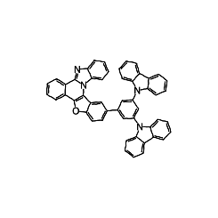 c1ccc2c(c1)nc1c3ccccc3c3oc4ccc(-c5cc(-n6c7ccccc7c7ccccc76)cc(-n6c7ccccc7c7ccccc76)c5)cc4c3n21